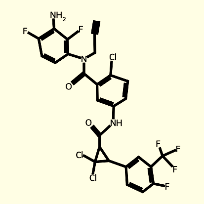 C#CCN(C(=O)c1cc(NC(=O)C2C(c3ccc(F)c(C(F)(F)F)c3)C2(Cl)Cl)ccc1Cl)c1ccc(F)c(N)c1F